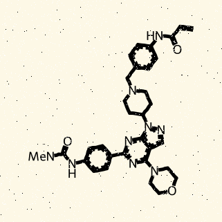 C=CC(=O)Nc1ccc(CN2CCC(n3ncc4c(N5CCOCC5)nc(-c5ccc(NC(=O)NC)cc5)nc43)CC2)cc1